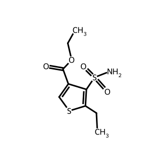 CCOC(=O)c1csc(CC)c1S(N)(=O)=O